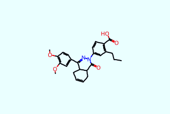 CCCc1cc(N2N=C(c3ccc(OC)c(OC)c3)C3CC=CCC3C2=O)ccc1C(=O)O